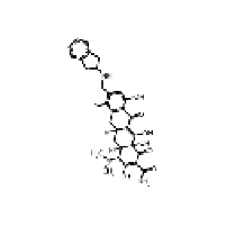 CN(C)[C@@H]1C(O)=C(C(N)=O)C(=O)[C@@]2(O)C(O)=C3C(=O)c4c(O)cc(CNC5Cc6ccccc6C5)c(F)c4C[C@H]3C[C@@H]12